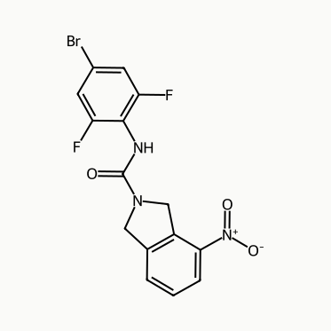 O=C(Nc1c(F)cc(Br)cc1F)N1Cc2cccc([N+](=O)[O-])c2C1